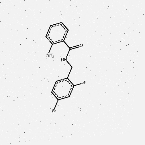 Nc1ccccc1C(=O)NCc1ccc(Br)cc1F